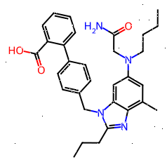 CCCCN(CC(N)=O)c1cc(C)c2nc(CCC)n(Cc3ccc(-c4ccccc4C(=O)O)cc3)c2c1